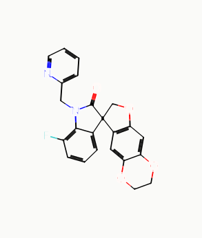 O=C1N(Cc2ccccn2)c2c(F)cccc2C12COc1cc3c(cc12)OCCO3